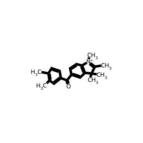 CC1=[N+](C)c2ccc(C(=O)c3ccc(C)c(C)c3)cc2C1(C)C